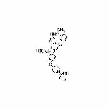 CC(=N)N1CCC(Oc2ccc(N(C/C=C/c3cccc(C(=N)N)c3)Cc3ccccc3)cc2)CC1.Cl.Cl.Cl